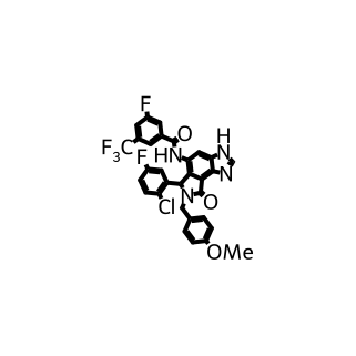 COc1ccc(CN2C(=O)c3c(c(NC(=O)c4cc(F)cc(C(F)(F)F)c4)cc4[nH]cnc34)C2c2cc(F)ccc2Cl)cc1